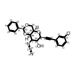 [N-]=[N+]=NC1[C@@H](O)[C@H](C#Cc2cccc(Cl)c2)O[C@@H]2CO[C@H](c3ccccc3)O[C@H]12